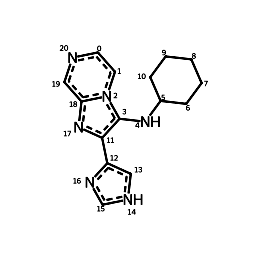 c1cn2c(NC3CCCCC3)c(-c3c[nH]cn3)nc2cn1